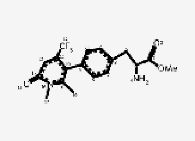 COC(=O)[C@@H](N)Cc1ccc(-c2c(C(F)(F)F)cc(=O)n(C)c2C)cc1